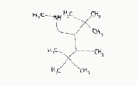 CNCC(C(C)C(C)(C)C)C(C)(C)C